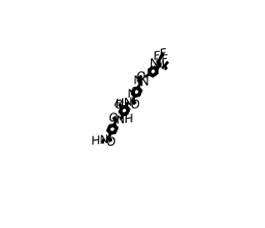 CNC(=O)c1ccc(C(=O)Nc2ccc(NC(=O)c3ccc(-c4noc(-c5ccc6c(c5)nc(C(F)(F)F)n6C(C)C)n4)cn3)c(OC)c2)cc1